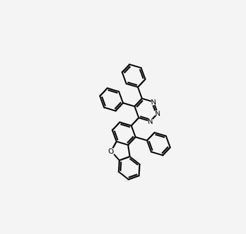 c1ccc(-c2nnnc(-c3ccc4oc5ccccc5c4c3-c3ccccc3)c2-c2ccccc2)cc1